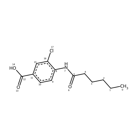 CCCCCC(=O)Nc1ccc(C(=O)O)cc1Cl